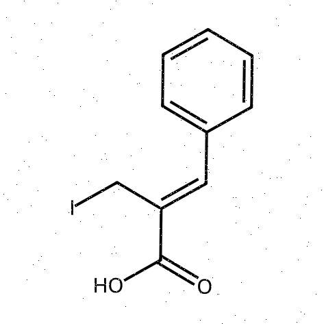 O=C(O)C(=Cc1ccccc1)CI